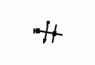 C[Si](C)(C)C(F)(F)S